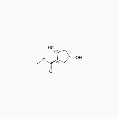 COC(=O)[C@@H]1CC(O)CN1.Cl